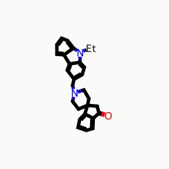 CCn1c2ccccc2c2cc(CN3CCC4(CC3)CC(=O)c3ccccc34)ccc21